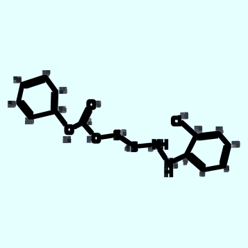 O=C(OSSNNc1ccccc1Cl)Oc1ccccc1